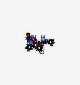 O=C(CN1C(=O)[C@H](NC(=O)[C@@H]2CCC(=O)N2)[C@H](c2ccccc2)Sc2cc(Cl)ccc21)NCCc1ccccc1